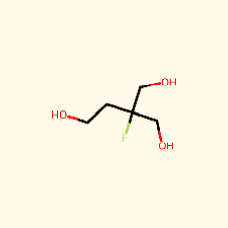 OCCC(F)(CO)CO